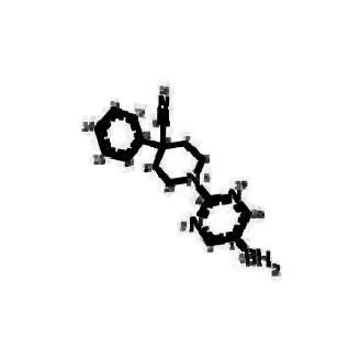 Bc1cnc(N2CCC(C#N)(c3ccccc3)CC2)nc1